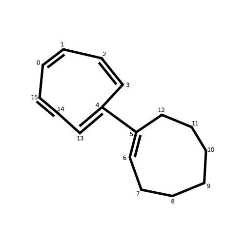 C1=CC=CC(C2=CCCCCCC2)=CC=C1